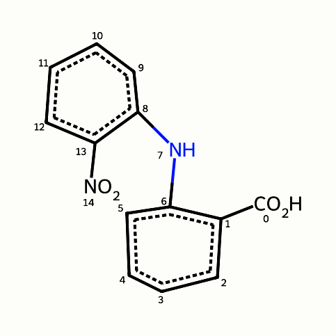 O=C(O)c1ccccc1Nc1ccccc1[N+](=O)[O-]